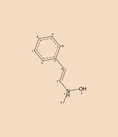 C[SiH](O)C=Cc1ccccc1